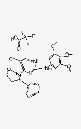 COc1cc(Nc2ncc(Cl)c(N3OCCC3c3ccccc3)n2)cc(OC)c1OC.O=C(O)C(F)(F)F